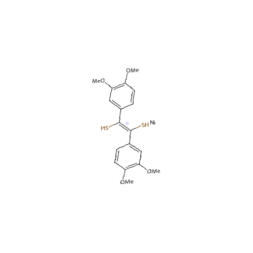 COc1ccc(/C(S)=C(\S)c2ccc(OC)c(OC)c2)cc1OC.[Ni]